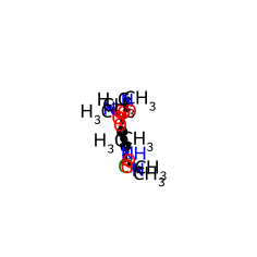 CN(C)CCC(=O)OCC(COc1ccc(C(C)(C)c2ccc(NCC(CCl)OC(=O)CCN(C)C)cc2)cc1)OC(=O)CCN(C)C